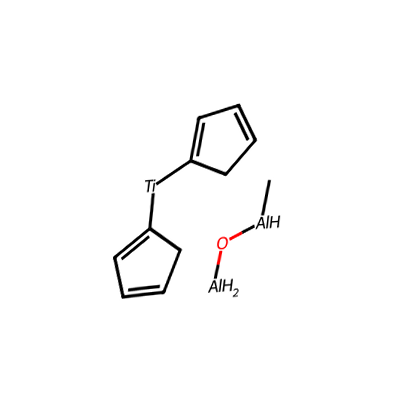 C1=CC[C]([Ti][C]2=CC=CC2)=C1.[CH3][AlH][O][AlH2]